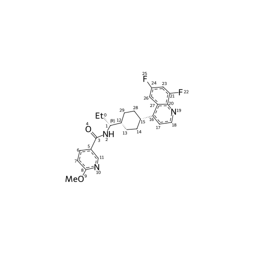 CC[C@@H](NC(=O)c1ccc(OC)nc1)[C@H]1CC[C@@H](c2ccnc3c(F)cc(F)cc32)CC1